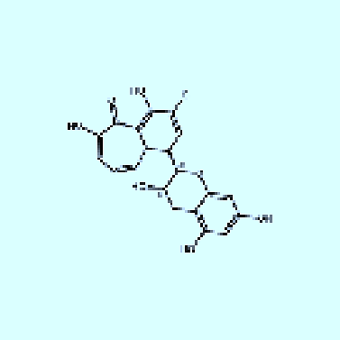 O=C1C(O)=CC=CC2C1=C(O)C(O)=CC2[C@H]1Oc2cc(O)cc(O)c2C[C@H]1O